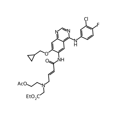 CCOC(=O)CN(C/C=C/C(=O)Nc1cc2c(Nc3ccc(F)c(Cl)c3)ncnc2cc1OCC1CC1)CCOC(C)=O